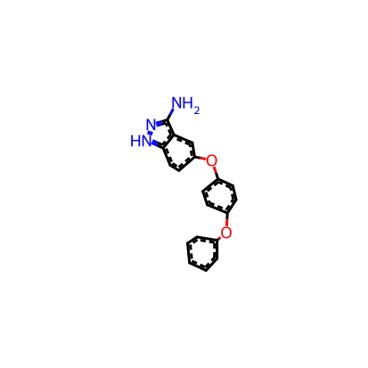 Nc1n[nH]c2ccc(Oc3ccc(Oc4ccccc4)cc3)cc12